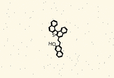 Oc1cc2ccccc2cc1CCc1cc2ccccc2c2c1sc1ccc3ccccc3c12